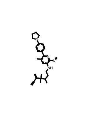 C#CC(=C)C(C)(C)C(C)CCNc1cc(C)c(-c2ccc(N3CCCC3)cc2)nc1N=C